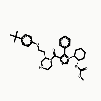 COC(=O)N[C@H]1CCCC[C@@H]1n1cnc(C(=O)N2CCNC[C@H]2CCOc2ccc(C(C)(C)C)cc2)c1-c1ccccc1